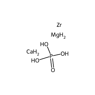 O=P(O)(O)O.[CaH2].[MgH2].[Zr]